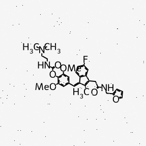 COc1cc(/C=C2/C(C)=C(CC(=O)NCc3ccco3)c3cc(F)ccc32)cc(OC)c1OC(=O)NCCN(C)C